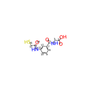 O=C(O)CNC(=O)c1cccc(NC(=O)CS)c1